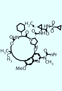 C=C[C@@H]1CC1(NC(=O)[C@@H]1C[C@@H]2CN1C(=O)[C@H](C1CCCCC1)NC(=O)OCC(C)(C)CCCc1cc3c(cc(N(C)C(=O)CCC)nc3cc1OC)O2)C(=O)NS(=O)(=O)C1CC1